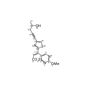 CCOC(=O)/C=C(\c1cnc(OC)nc1)c1nc(C#CCC(C)O)cs1